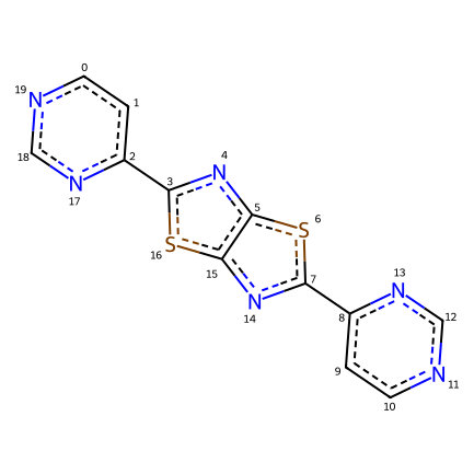 c1cc(-c2nc3sc(-c4ccncn4)nc3s2)ncn1